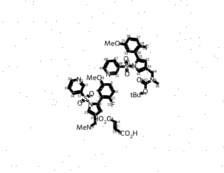 CNCc1cc(-c2cc(OC)ccc2F)n(S(=O)(=O)c2cccnc2)c1.COc1ccc(F)c(-c2cc(CN(C)C(=O)OC(C)(C)C)cn2S(=O)(=O)c2cccnc2)c1.O=C(O)/C=C/C(=O)O